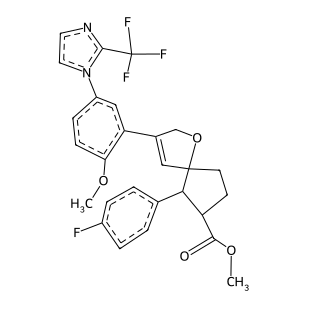 COC(=O)C1CCC2(C=C(c3cc(-n4ccnc4C(F)(F)F)ccc3OC)CO2)C1c1ccc(F)cc1